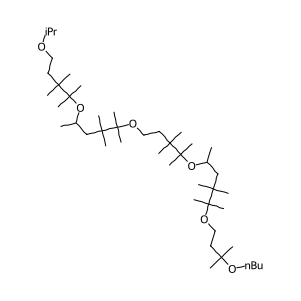 CCCCOC(C)(C)CCOC(C)(C)C(C)(C)CC(C)OC(C)(C)C(C)(C)CCOC(C)(C)C(C)(C)CC(C)OC(C)(C)C(C)(C)CCOC(C)C